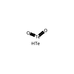 O=[Te]=O.[TeH]